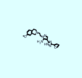 COc1ccc2c(c1)CN(CCn1ncc(-c3nc(-c4ccco4)n[nH]3)c1N)CC2